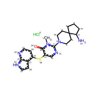 Cl.Cn1c(N2CCC3(CCCC3N)CC2)ncc(Sc2ccnc3[nH]ccc23)c1=O